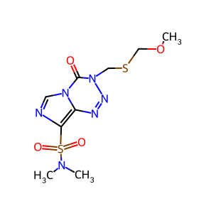 COCSCn1nnc2c(S(=O)(=O)N(C)C)ncn2c1=O